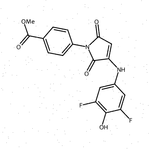 COC(=O)c1ccc(N2C(=O)C=C(Nc3cc(F)c(O)c(F)c3)C2=O)cc1